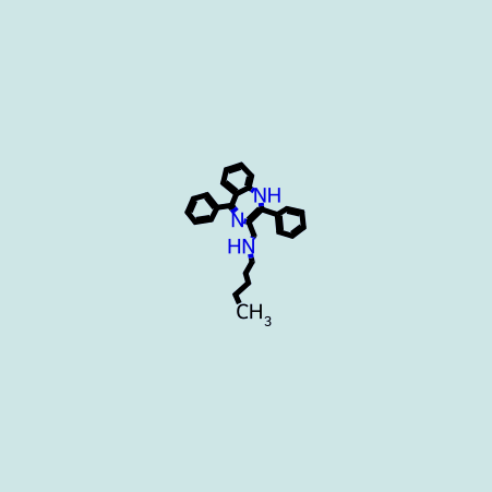 CCCCCNCC1=C(c2ccccc2)Nc2ccccc2C(c2ccccc2)=N1